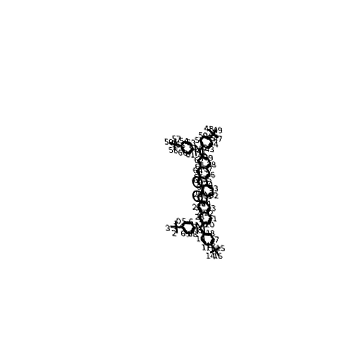 CC(C)(C)c1ccc(N(c2ccc(C(C)(C)C)cc2)c2ccc3cc4c(cc3c2)oc2c4ccc3c4cc5ccc(N(c6ccc(C(C)(C)C)cc6)c6ccc(C(C)(C)C)cc6)cc5cc4oc32)cc1